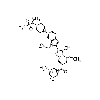 COc1cc(C(=O)N2C[C@H](N)C[C@@H](F)C2)cn2nc(-c3cc4ccc(N5CCC(N(C)S(C)(=O)=O)CC5)cc4n3CC3CC3)c(C)c12